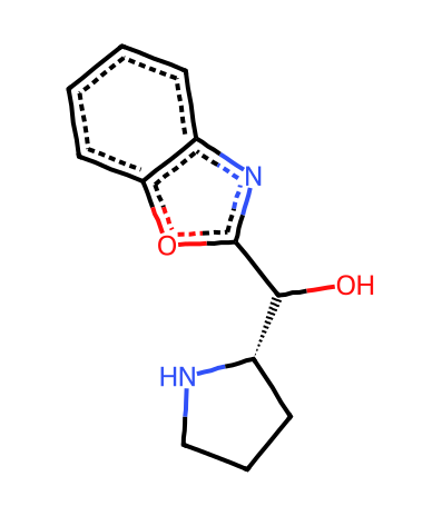 OC(c1nc2ccccc2o1)[C@@H]1CCCN1